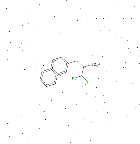 O=S(=O)(O)C(Cc1ccc2ccccc2c1)C(F)F